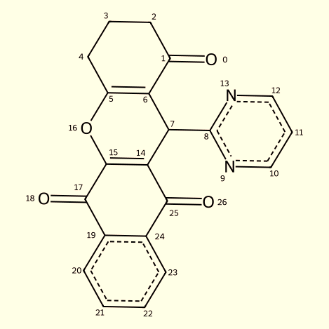 O=C1CCCC2=C1C(c1ncccn1)C1=C(O2)C(=O)c2ccccc2C1=O